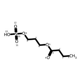 CCCC(=O)OCCCOS(=O)(=O)O